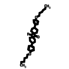 CCCCCCOc1ccc(C2CCC3(CC2)C(=O)C2(CCC(c4ccc(OCCCCCC)cc4)CC2)C3F)cc1